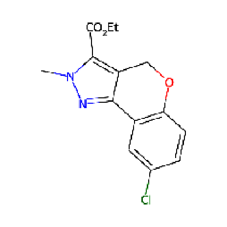 CCOC(=O)c1c2c(nn1C)-c1cc(Cl)ccc1OC2